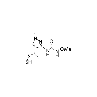 CONC(=O)Nc1nn(C)cc1C(C)SS